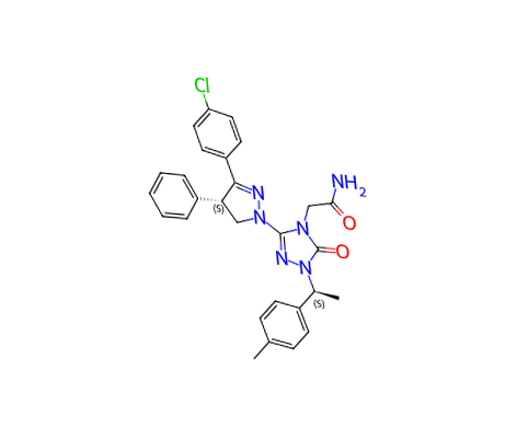 Cc1ccc([C@H](C)n2nc(N3C[C@H](c4ccccc4)C(c4ccc(Cl)cc4)=N3)n(CC(N)=O)c2=O)cc1